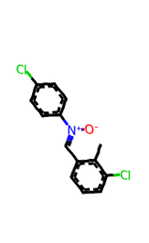 Cc1c(Cl)cccc1C=[N+]([O-])c1ccc(Cl)cc1